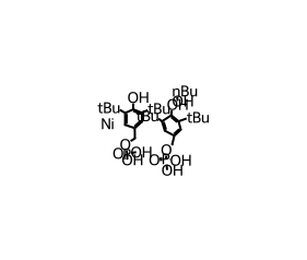 CC(C)(C)c1cc(COP(=O)(O)O)cc(C(C)(C)C)c1O.CC(C)(C)c1cc(COP(=O)(O)O)cc(C(C)(C)C)c1O.CCCCO.[Ni]